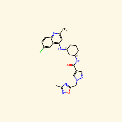 Cc1noc(Cn2cc(C(=O)N[C@@H]3CCC[C@H](Nc4cc(C(F)(F)F)nc5ccc(Cl)cc45)C3)cn2)n1